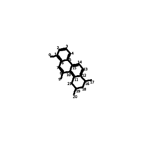 Cc1cccc2c1cc(C)c1c3c(ccc12)C(C)CC(C)C3